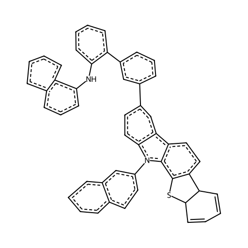 C1=CC2Sc3c(ccc4c5cc(-c6cccc(-c7ccccc7Nc7cccc8ccccc78)c6)ccc5n(-c5ccc6ccccc6c5)c34)C2C=C1